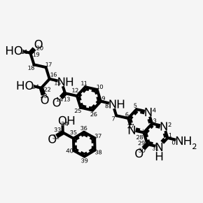 Nc1nc2ncc(CNc3ccc(C(=O)NC(CCC(=O)O)C(=O)O)cc3)nc2c(=O)[nH]1.O=C(O)c1ccccc1